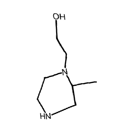 CC1CNCCN1CCO